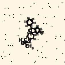 CP(C)(=O)CN1CCC2(CC1)OC(c1ccccc1)c1ccc(F)cc12